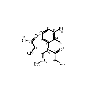 CCOCN(C(=O)CCl)c1cccc(CC)c1C.O=C(Cl)CCl